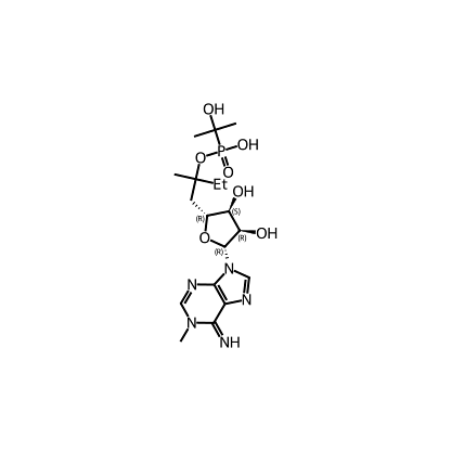 CCC(C)(C[C@H]1O[C@@H](n2cnc3c(=N)n(C)cnc32)[C@H](O)[C@@H]1O)OP(=O)(O)C(C)(C)O